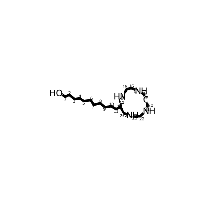 OCCCCCCCCCCCC1CNCCNCCCNCCNC1